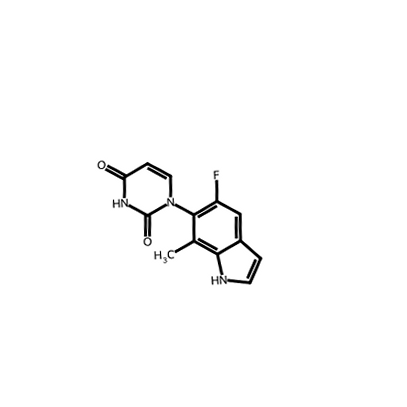 Cc1c(-n2ccc(=O)[nH]c2=O)c(F)cc2cc[nH]c12